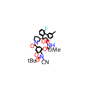 COC(=O)NCCCC(O)(c1cccc(F)c1-c1cccc(C)c1)[C@@H]1CCCN(C(=O)c2ccc(CN(CC#N)C(=O)OC(C)(C)C)cc2)C1